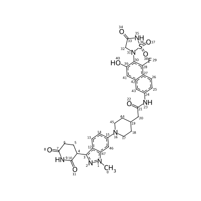 Cn1nc(C2CCC(=O)NC2=O)c2ccc(N3CCC(CC(=O)Nc4ccc5c(F)c(N6CC(=O)NS6(=O)=O)c(O)cc5c4)CC3)cc21